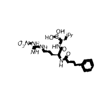 CC(C)C[C@H](NC(=O)[C@H](CCCNC(=N)N[N+](=O)[O-])NC(=O)CCCc1ccccc1)B(O)O